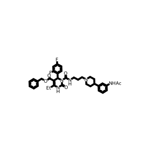 CCC1=C(C(=O)OCc2ccccc2)C(c2ccc(F)cc2F)N(C(=O)NCCCN2CCC(c3cccc(NC(C)=O)c3)CC2)C(=O)N1